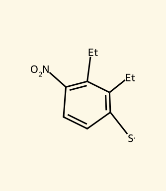 CCc1c([S])ccc([N+](=O)[O-])c1CC